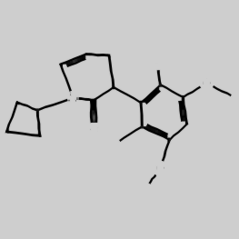 COc1cc(OC)c(F)c(C2CC=CN(C3CCC3)C2=O)c1F